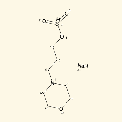 O=[SH](=O)OCCCN1CCOCC1.[NaH]